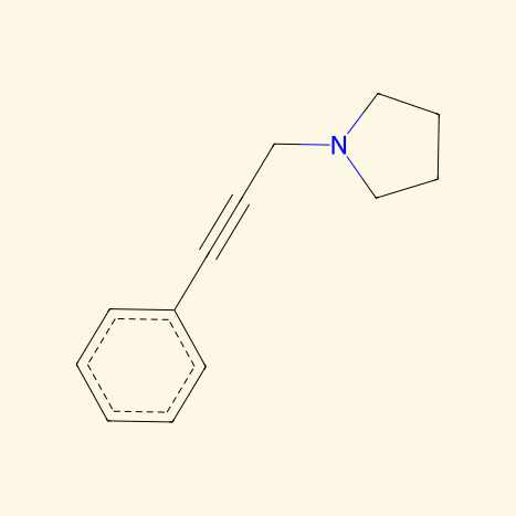 C(#Cc1ccccc1)CN1CCCC1